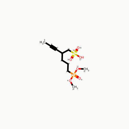 CC#CC(CCCP(=O)(OC)OC)CS(=O)(=O)O